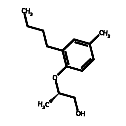 CCCCc1cc(C)ccc1O[C@@H](C)CO